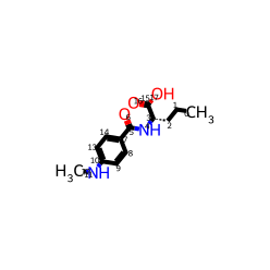 CCC[C@H](NC(=O)c1ccc(NC)cc1)C(=O)O